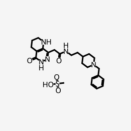 CS(=O)(=O)O.O=C(Cc1n[nH]c(=O)c2c1NCCC2)NCCC1CCN(Cc2ccccc2)CC1